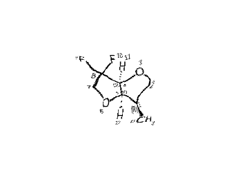 C[C@@H]1CO[C@H]2[C@@H]1OCC2(F)F